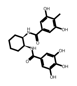 Cc1c(O)cc(C(=O)N[C@@H]2CCCC[C@@H]2NC(=O)c2cc(O)c(O)c(O)c2)cc1O